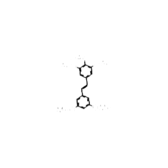 COc1cc(C=Cc2cc(OC(C)=O)c(OC(C)=O)c(OC(C)=O)c2)cc(OC)c1